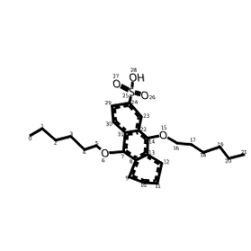 CCCCCCOc1c2ccccc2c(OCCCCCC)c2cc(S(=O)(=O)O)ccc12